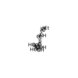 CC[C@@H]1CC[C@H](CCCNC(=O)CCCCO[C@H]2O[C@H](CO)[C@@H](O)[C@H](O)[C@@H]2O)O1